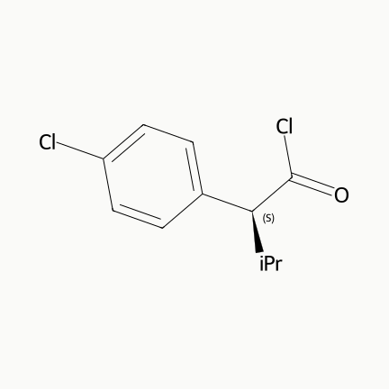 CC(C)[C@H](C(=O)Cl)c1ccc(Cl)cc1